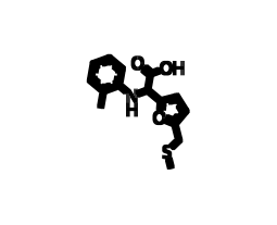 CSCc1ccc(C(Nc2ccccc2C)C(=O)O)o1